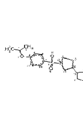 CC(C)Oc1ccc(S(=O)(=O)N2CCC(C3CCC3)C2)cn1